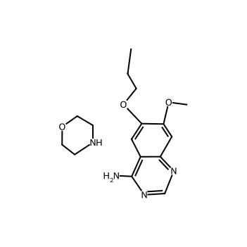 C1COCCN1.CCCOc1cc2c(N)ncnc2cc1OC